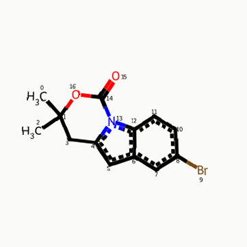 CC1(C)Cc2cc3cc(Br)ccc3n2C(=O)O1